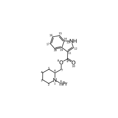 CCCN1CCCCC1COC(=O)c1c[nH]c2ccccc12